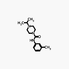 Cc1cccc(NC(=O)N2CCN(C(C)C)CC2)c1